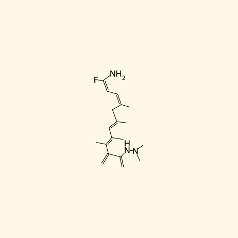 C=C(NN(C)C)C(=C)/C(C)=C(C)/C=C(\C)C/C(C)=C\C=C(/N)F